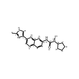 Cc1nc(-c2cnc3ccc(NC(=O)N(I)C4CCCC4)nc3n2)cs1